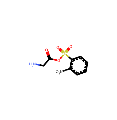 NCC(=O)OS(=O)(=O)c1ccccc1[N+](=O)[O-]